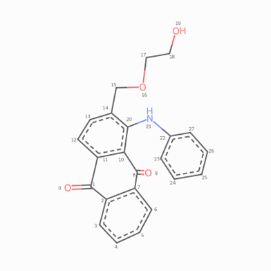 O=C1c2ccccc2C(=O)c2c1ccc(COCCO)c2Nc1ccccc1